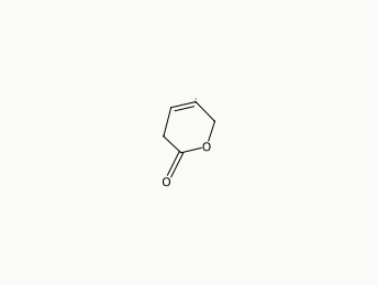 O=C1CC=[C]CO1